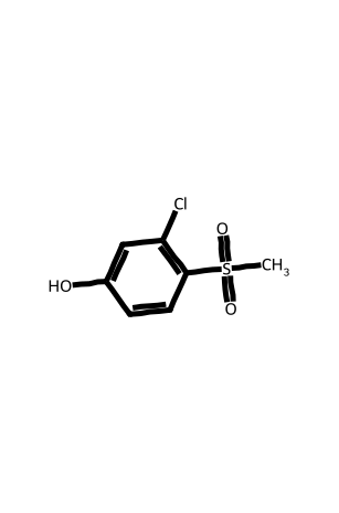 CS(=O)(=O)c1ccc(O)cc1Cl